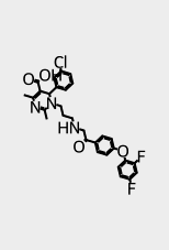 CC1=NC(C)=C(C(=O)O)C(c2cccc(Cl)c2)N1CCCNCC(=O)c1ccc(Oc2ccc(F)cc2F)cc1